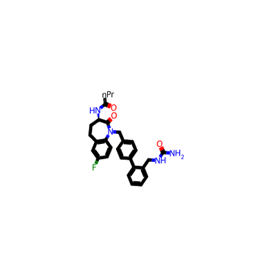 CCCC(=O)N[C@@H]1CCc2cc(F)ccc2N(Cc2ccc(-c3ccccc3CNC(N)=O)cc2)C1=O